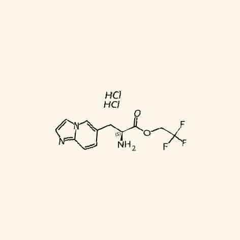 Cl.Cl.N[C@@H](Cc1ccc2nccn2c1)C(=O)OCC(F)(F)F